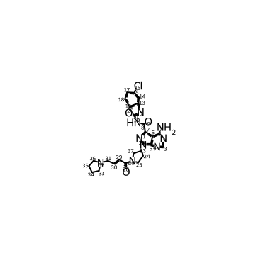 Nc1ncnc2c1c(C(=O)Nc1nc3cc(Cl)ccc3o1)nn2[C@@H]1CCN(C(=O)C=CCN2CCCC2)C1